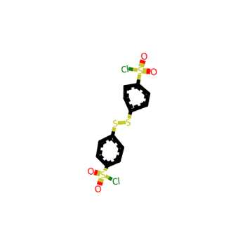 O=S(=O)(Cl)c1ccc(SSc2ccc(S(=O)(=O)Cl)cc2)cc1